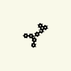 c1ccc(-c2ccc3c(c2)c2cc(-c4ccccc4)ccc2n3-c2ccc(-c3ccc4c5ccccc5c5ccccc5c4n3)cc2)cc1